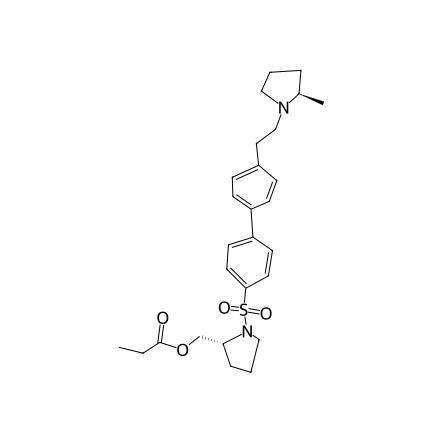 CCC(=O)OC[C@H]1CCCN1S(=O)(=O)c1ccc(-c2ccc(CCN3CCC[C@H]3C)cc2)cc1